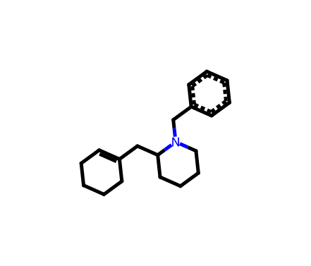 C1=C(CC2CCCCN2Cc2ccccc2)CCCC1